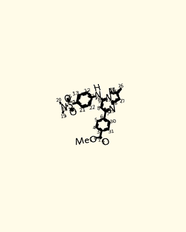 COC(=O)c1ccc(-c2cc(Nc3ccc(S(=O)(=O)N(C)C)cc3)n3nc(C)cc3n2)cc1